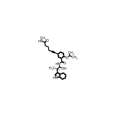 CNC(=O)CCCC#Cc1ccc(OC(C)C)c(C(=O)NC(O)[C@H](C)c2c[nH]c3ccccc23)c1